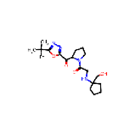 CCC(C)(C)c1nnc(C(=O)C2CCCN2C(=O)CNC2(CO)CCCC2)o1